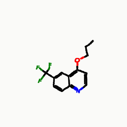 CCCOc1ccnc2ccc(C(F)(F)F)cc12